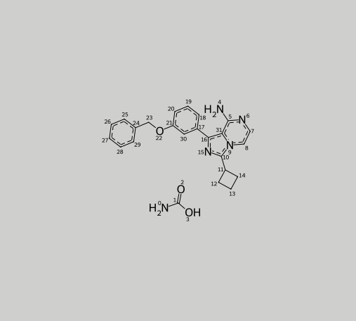 NC(=O)O.Nc1nccn2c(C3CCC3)nc(-c3cccc(OCc4ccccc4)c3)c12